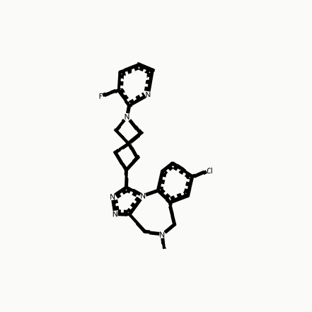 CN1Cc2cc(Cl)ccc2-n2c(nnc2C2CC3(C2)CN(c2ncccc2F)C3)C1